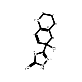 O=c1[nH]nc(C2(Cl)C=CC3=C(CCCO3)C2)o1